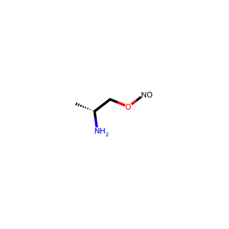 C[C@@H](N)CON=O